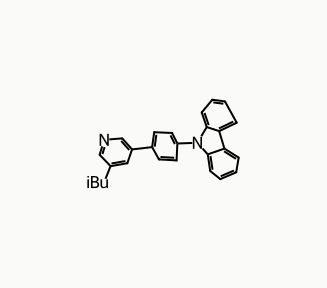 CCC(C)c1cncc(-c2ccc(-n3c4ccccc4c4ccccc43)cc2)c1